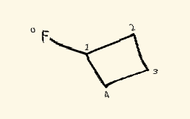 FC1CCC1